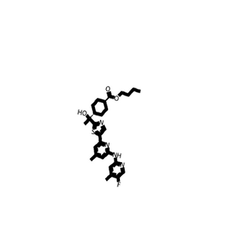 CCCCOC(=O)[C@H]1CC[C@H](C(C)(O)c2ncc(-c3cc(C)cc(Nc4cc(C)c(F)cn4)n3)s2)CC1